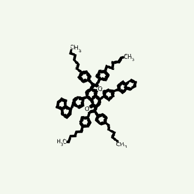 CCCCCCc1ccc(-c2oc3c(cc(-c4ccc(-c5cccc6ccccc56)cc4)c4c5oc(-c6ccc(CCCCCC)cc6)c(-c6ccc(CCCCCC)cc6)c5cc(-c5ccc(-c6ccc7ccccc7c6)cc5)c34)c2-c2ccc(CCCCCC)cc2)cc1